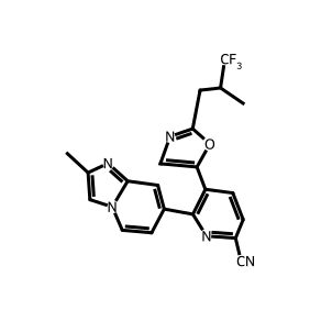 Cc1cn2ccc(-c3nc(C#N)ccc3-c3cnc(CC(C)C(F)(F)F)o3)cc2n1